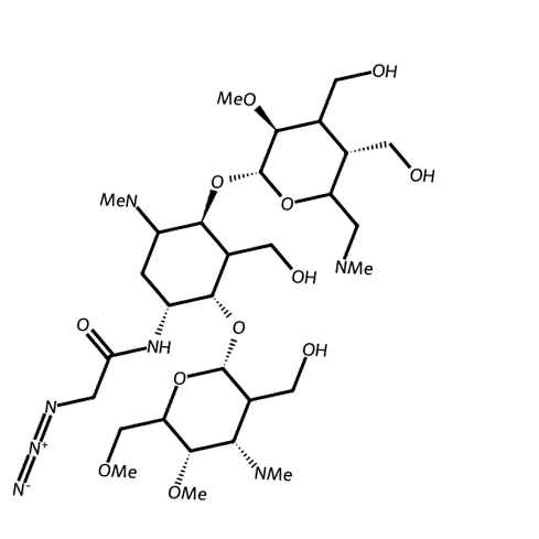 CNCC1O[C@H](O[C@@H]2C(NC)C[C@@H](NC(=O)CN=[N+]=[N-])[C@@H](O[C@H]3OC(COC)[C@@H](OC)[C@@H](NC)C3CO)C2CO)[C@@H](OC)C(CO)[C@@H]1CO